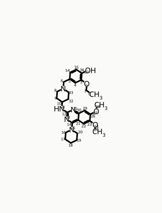 CCOc1cc(CN2CCC(Nc3nc(N4CCCCC4)c4cc(OC)c(OC)cc4n3)CC2)ccc1O